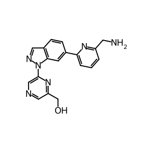 NCc1cccc(-c2ccc3cnn(-c4cncc(CO)n4)c3c2)n1